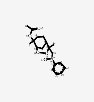 CC(=O)OC1(C)CCC2CC1OOC2(C)C[S+]([O-])c1ccccc1